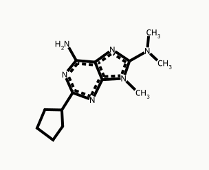 CN(C)c1nc2c(N)nc(C3CCCC3)nc2n1C